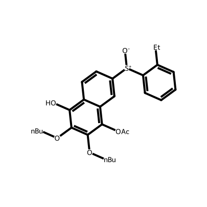 CCCCOc1c(OCCCC)c(OC(C)=O)c2cc([S+]([O-])c3ccccc3CC)ccc2c1O